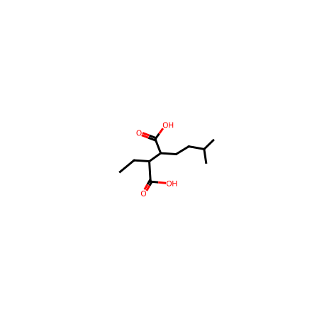 CCC(C(=O)O)C(CCC(C)C)C(=O)O